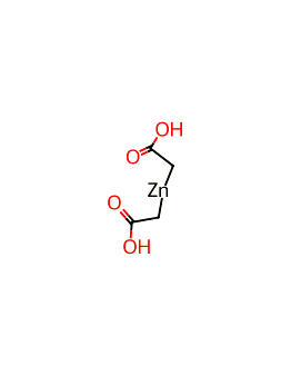 O=C(O)[CH2][Zn][CH2]C(=O)O